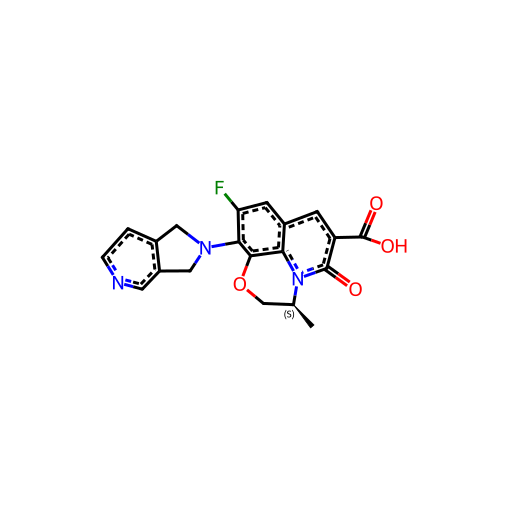 C[C@H]1COc2c(N3Cc4ccncc4C3)c(F)cc3cc(C(=O)O)c(=O)n1c23